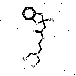 CCN(CC)CCNC(=O)CC1(C)Oc2ccccc2O1